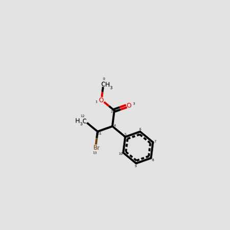 COC(=O)C(c1ccccc1)C(C)Br